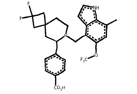 Cc1cc(OC(F)(F)F)c(CN2CCC3(CC2c2ccc(C(=O)O)cc2)CC(F)(F)C3)c2cc[nH]c12